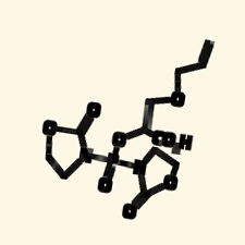 C=CCOC=C(OP(=O)(N1CCOC1=O)N1CCOC1=O)C(=O)O